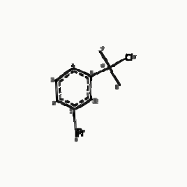 CC(C)c1cccc(C(C)(C)Cl)c1